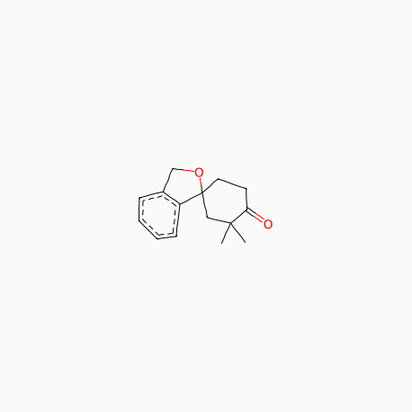 CC1(C)CC2(CCC1=O)OCc1ccccc12